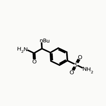 CCCCC(C(N)=O)c1ccc(S(N)(=O)=O)cc1